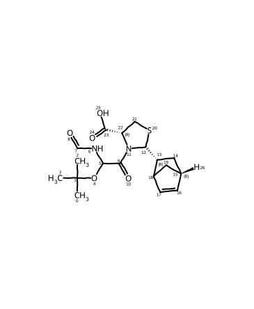 CC(C)(C)OC(NC=O)C(=O)N1C([C@@H]2C[C@@H]3C=CC2C3)SC[C@H]1C(=O)O